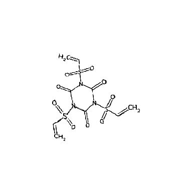 C=CS(=O)(=O)n1c(=O)n(S(=O)(=O)C=C)c(=O)n(S(=O)(=O)C=C)c1=O